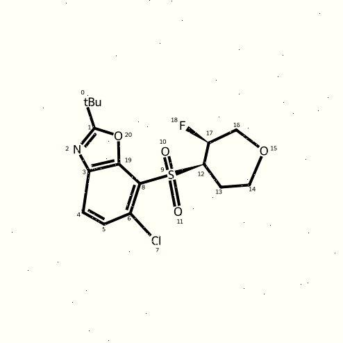 CC(C)(C)c1nc2ccc(Cl)c(S(=O)(=O)[C@@H]3CCOC[C@@H]3F)c2o1